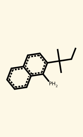 CCC(C)(C)c1ccc2ccccc2c1P